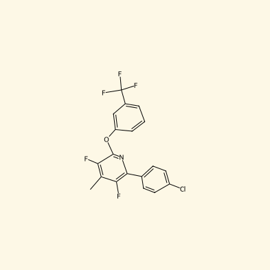 Cc1c(F)c(Oc2cccc(C(F)(F)F)c2)nc(-c2ccc(Cl)cc2)c1F